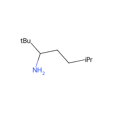 CC(C)CCC(N)C(C)(C)C